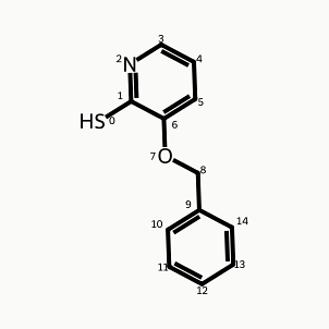 Sc1ncccc1OCc1ccccc1